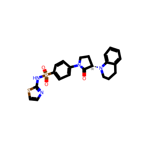 O=C1[C@@H](N2CCCc3ccccc32)CCN1c1ccc(S(=O)(=O)Nc2nccs2)cc1